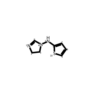 C1=NCCN1Nc1cccs1